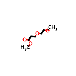 COCCOCCC([O])OC